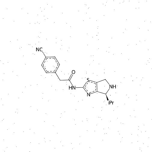 CC(C)[C@@H]1NCc2sc(NC(=O)Cc3ccc(C#N)cc3)nc21